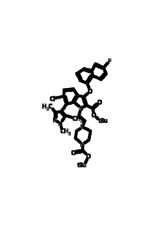 Cc1nn(C)c(C)c1-c1c(Cl)ccc2c(Oc3cccc4cc(F)ccc34)c(C(=O)OC(C)(C)C)n(CCN3CCN(C(=O)OC(C)(C)C)CC3)c12